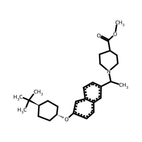 COC(=O)C1CCN(C(C)c2ccc3cc(O[C@H]4CC[C@H](C(C)(C)C)CC4)ccc3c2)CC1